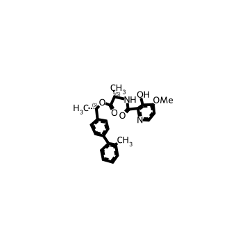 COc1ccnc(C(=O)N[C@@H](C)C(=O)O[C@@H](C)c2ccc(-c3ccccc3C)cc2)c1O